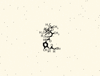 Cc1ccc(NC(=O)NCC(C)[Si](C)(O[Si](C)(C)C)O[Si](C)(C)C)cc1NC(=O)NC(C)(C)C